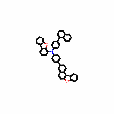 c1ccc2c(-c3ccc(N(c4ccc(-c5ccc6c(ccc7oc8ccccc8c76)c5)cc4)c4cccc5c4oc4ccccc45)cc3)cccc2c1